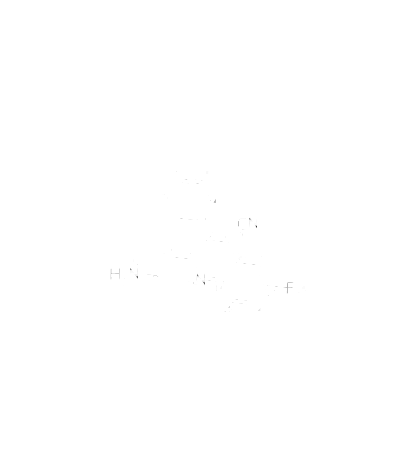 N#Cc1c(-c2ccccc2)c(CCN)nc2ccc(F)cc12